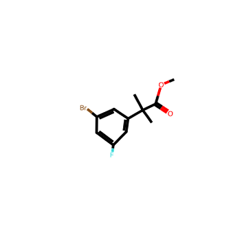 COC(=O)C(C)(C)c1cc(F)cc(Br)c1